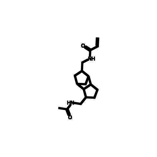 C=CC(=O)NCC1CC2CC1C1CCC(CNC(C)=O)C21